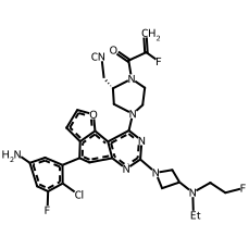 C=C(F)C(=O)N1CCN(c2nc(N3CC(N(CC)CCF)C3)nc3cc(-c4cc(N)cc(F)c4Cl)c4ccoc4c23)C[C@@H]1CC#N